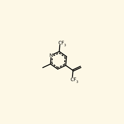 C=C(c1cc(C)nc(C(F)(F)F)c1)C(F)(F)F